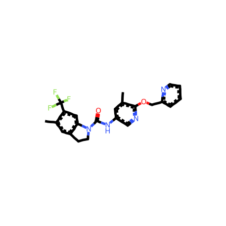 Cc1cc2c(cc1C(F)(F)F)N(C(=O)Nc1cnc(OCc3ccccn3)c(C)c1)CC2